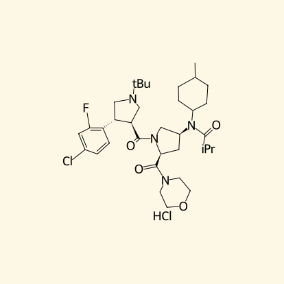 CC1CCC(N(C(=O)C(C)C)[C@H]2C[C@@H](C(=O)N3CCOCC3)N(C(=O)[C@@H]3CN(C(C)(C)C)C[C@H]3c3ccc(Cl)cc3F)C2)CC1.Cl